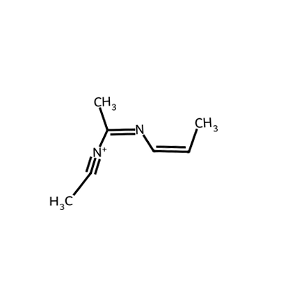 CC#[N+]/C(C)=N\C=C/C